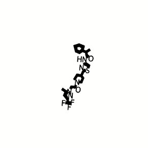 Cc1cc(C(F)(F)F)nn1CC(=O)N1CCC(c2nc(NC(=O)C(C)c3ccccc3)cs2)CC1